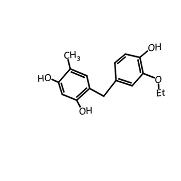 CCOc1cc(Cc2cc(C)c(O)cc2O)ccc1O